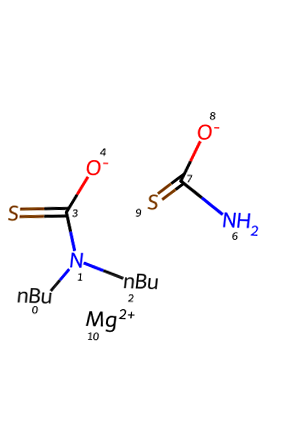 CCCCN(CCCC)C([O-])=S.NC([O-])=S.[Mg+2]